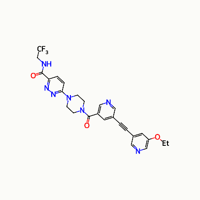 CCOc1cncc(C#Cc2cncc(C(=O)N3CCN(c4ccc(C(=O)NCC(F)(F)F)nn4)CC3)c2)c1